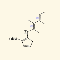 C/C=C(C)/C(C)=[C](\C)[Zr][C]1=C(CCCC)C=CC1